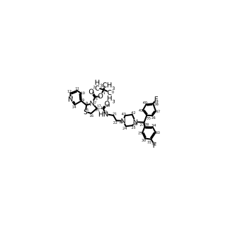 CC(C)(C)OC(=O)N1C(c2cccnc2)SC[C@H]1C(=O)NCCN1CCN(C(c2ccc(F)cc2)c2ccc(F)cc2)CC1